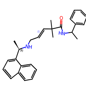 CC(NC(=O)C(C)(C)/C=C/CN[C@H](C)c1cccc2ccccc12)c1ccccc1